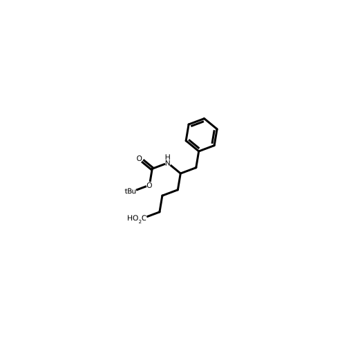 CC(C)(C)OC(=O)NC(CCCC(=O)O)Cc1ccccc1